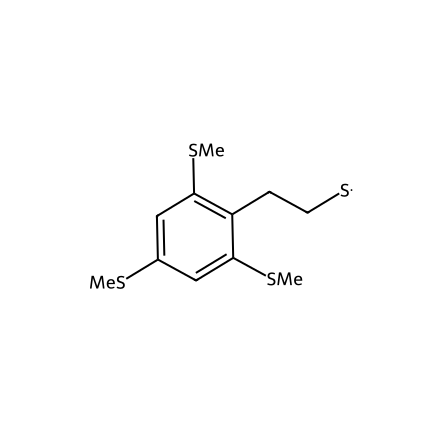 CSc1cc(SC)c(CC[S])c(SC)c1